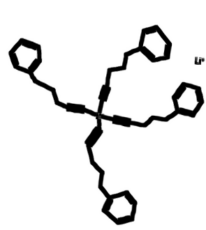 C(#C[B-](C#CCCCc1ccccc1)(C#CCCCc1ccccc1)C#CCCCc1ccccc1)CCCc1ccccc1.[Li+]